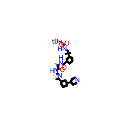 C[C@H](NC(=O)c1cccc(C(C)(C)CNC(=O)OC(C)(C)C)c1)C(=O)Nc1nc(-c2cccc(-c3ccncc3)c2)cs1